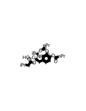 CCCC(=O)Oc1ccc(C[C@](NC(C)CC)(OC(=O)CC(C)C)C(=O)O)cc1OC(=O)CCC